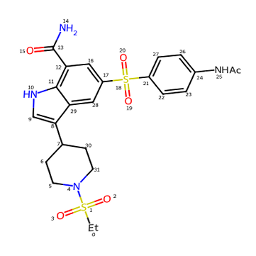 CCS(=O)(=O)N1CCC(c2c[nH]c3c(C(N)=O)cc(S(=O)(=O)c4ccc(NC(C)=O)cc4)cc23)CC1